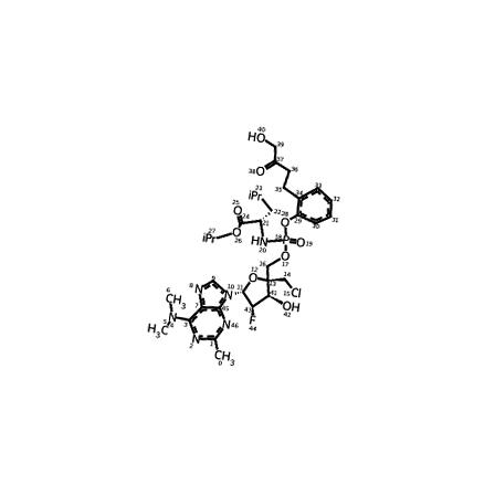 Cc1nc(N(C)C)c2ncn([C@@H]3O[C@](CCl)(COP(=O)(N[C@@H](CC(C)C)C(=O)OC(C)C)Oc4ccccc4CCC(=O)CO)[C@@H](O)[C@H]3F)c2n1